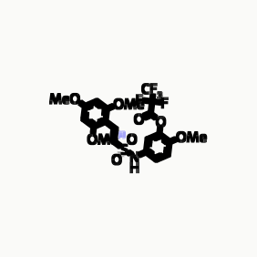 COc1cc(OC)c(/C=C/S(=O)(=O)Nc2ccc(OC)c(OC(=O)C(F)(F)C(F)(F)F)c2)c(OC)c1